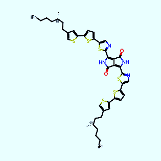 CC(C)CCC[C@H](C)CCc1csc(-c2ccc(-c3cnc(C4=C5C(=O)NC(c6ncc(-c7ccc(-c8cc(CC[C@@H](C)CCCC(C)C)cs8)s7)s6)=C5C(=O)N4)s3)s2)c1